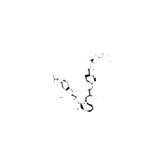 CCOc1ccc(CC(N)CNc2ccccc2CC(N)C(=O)Cc2ccc(COC(N)=O)cc2)cc1